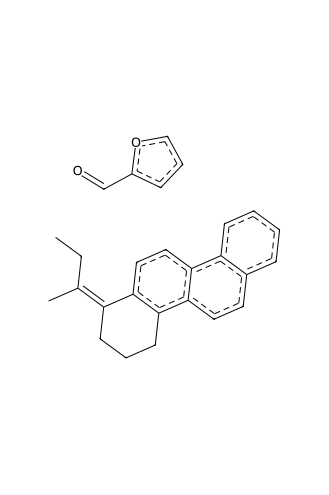 CCC(C)=C1CCCc2c1ccc1c2ccc2ccccc21.O=Cc1ccco1